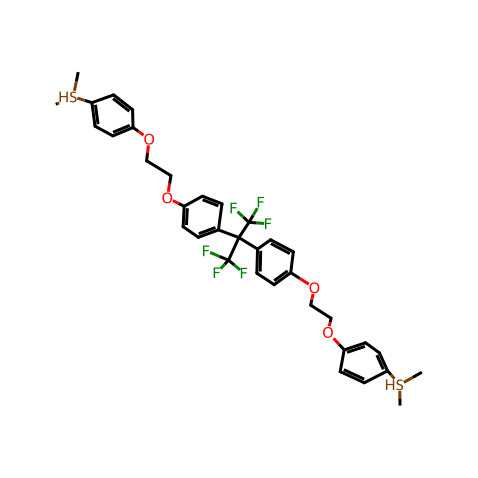 C[SH](C)c1ccc(OCCOc2ccc(C(c3ccc(OCCOc4ccc([SH](C)C)cc4)cc3)(C(F)(F)F)C(F)(F)F)cc2)cc1